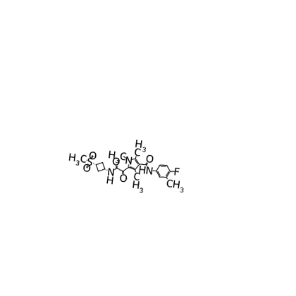 Cc1cc(NC(=O)c2c(C)c(C(=O)C(=O)N[C@H]3C[C@@H](S(C)(=O)=O)C3)n(C)c2C)ccc1F